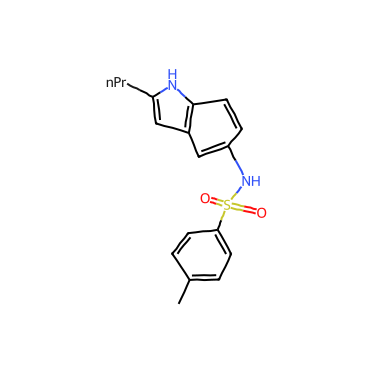 CCCc1cc2cc(NS(=O)(=O)c3ccc(C)cc3)ccc2[nH]1